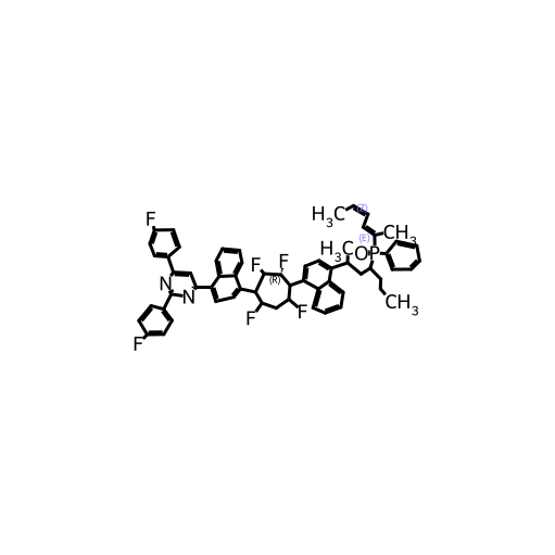 C/C=C\C=C(/C)P(=O)(c1ccccc1)C(CCC)CC(C)c1ccc(C2C(F)CC(F)C(c3ccc(-c4cc(-c5ccc(F)cc5)nc(-c5ccc(F)cc5)n4)c4ccccc34)C(F)[C@@H]2F)c2ccccc12